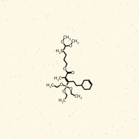 CCO[Si](OCC)(OCC)C(CCC1CC=CCC1)=C(C)C(=O)OCCC[SiH2]C(OC)OC